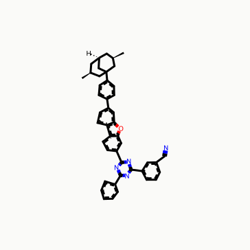 C[C@@H]1C[C@@H]2C[C@H](C)CC(c3ccc(-c4ccc5c(c4)oc4cc(-c6nc(-c7ccccc7)nc(-c7cccc(C#N)c7)n6)ccc45)cc3)(C1)C2